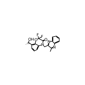 Cc1nc2ccccc2nc1CN1C(=O)C(F)(F)Oc2c([C@H](C)O)cccc21